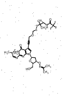 CC(C)=NO[C@@H]1C[C@H](n2cc(C#CCOCSSC(C)(C)CNC(=O)C(F)(F)F)c3c(=O)[nH]c(/N=C\N(C)C)nc32)O[C@@H]1CO